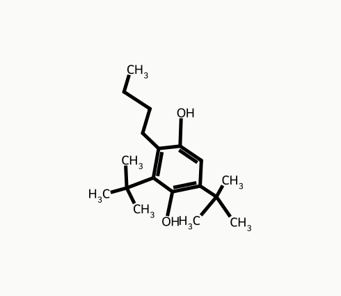 CCCCc1c(O)cc(C(C)(C)C)c(O)c1C(C)(C)C